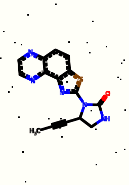 CC#CC1CNC(=O)N1c1nc2c(ccc3nccnc32)s1